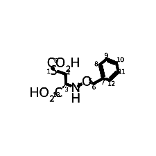 O=C(O)SC[C@H](NOCc1ccccc1)C(=O)O